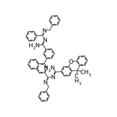 CC1(C)c2ccccc2Oc2cc(/C(N)=N/C(=N\Cc3ccccc3)c3cc(-c4cccc(/C(N)=N/C(=N\Cc5ccccc5)c5ccccc5)c4)c4ccccc4c3)ccc21